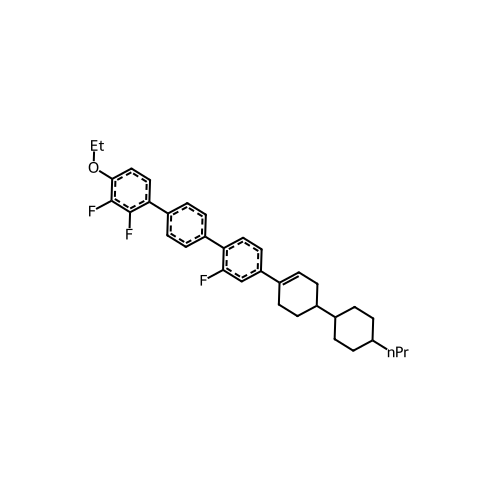 CCCC1CCC(C2CC=C(c3ccc(-c4ccc(-c5ccc(OCC)c(F)c5F)cc4)c(F)c3)CC2)CC1